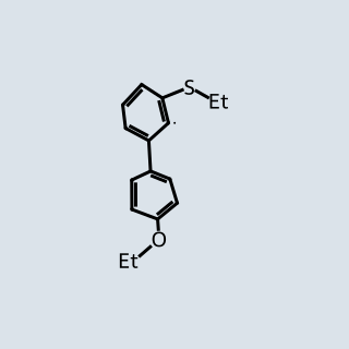 CCOc1ccc(-c2[c]c(SCC)ccc2)cc1